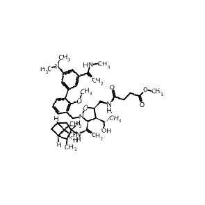 C=C(NC)c1cc(-c2cccc(CN3O[C@@H](CNC(=O)CCC(=O)OC)[C@@H]([C@H](C)O)[C@H]3C(=C)N[C@H]3C[C@H]4C[C@@H]([C@@H]3C)C4(C)C)c2OC)cc(N(C)C)c1